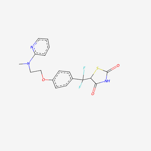 CN(CCOc1ccc(C(F)(F)C2SC(=O)NC2=O)cc1)c1ccccn1